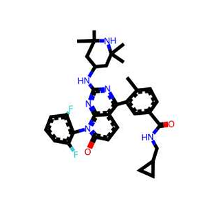 Cc1ccc(C(=O)NCC2CC2)cc1-c1nc(NC2CC(C)(C)NC(C)(C)C2)nc2c1ccc(=O)n2-c1c(F)cccc1F